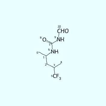 CC(CC(C)C(F)(F)F)NC(=O)NC=O